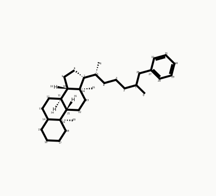 CC(CCC[C@@H](C)[C@H]1CC[C@H]2[C@@H]3CCC4CCCC[C@]4(C)[C@H]3CC[C@]12C)Cc1ccccc1